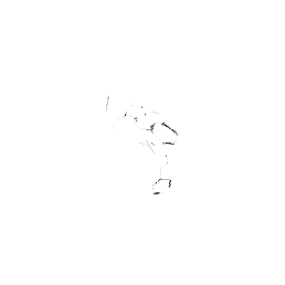 N[C@@H](Cc1ccccc1NCCc1ccccc1)C(=O)O